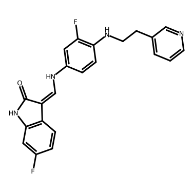 O=C1Nc2cc(F)ccc2C1=CNc1ccc(NCCc2cccnc2)c(F)c1